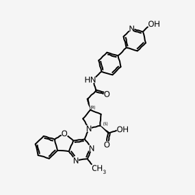 Cc1nc(N2C[C@@H](CC(=O)Nc3ccc(-c4ccc(O)nc4)cc3)C[C@H]2C(=O)O)c2oc3ccccc3c2n1